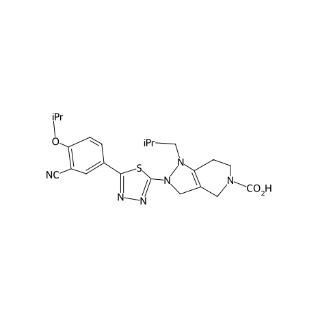 CC(C)CN1C2=C(CN(C(=O)O)CC2)CN1c1nnc(-c2ccc(OC(C)C)c(C#N)c2)s1